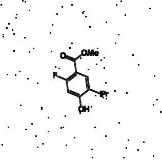 COC(=O)c1cc(C(C)C)c(O)cc1F